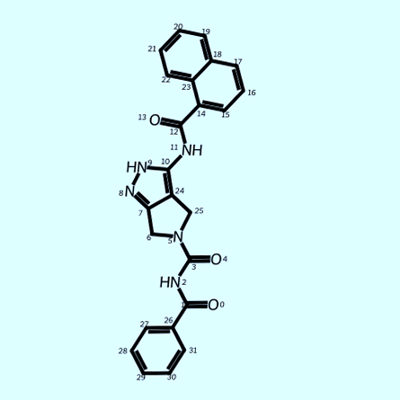 O=C(NC(=O)N1Cc2n[nH]c(NC(=O)c3cccc4ccccc34)c2C1)c1ccccc1